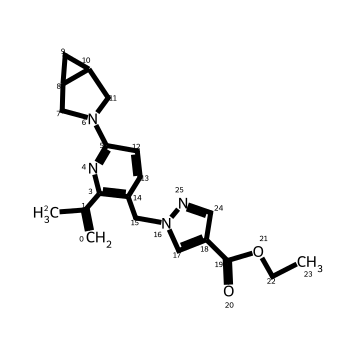 C=C(C)c1nc(N2CC3CC3C2)ccc1Cn1cc(C(=O)OCC)cn1